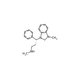 CNCC[C@H](c1ccccc1)N1[CH]N(C)c2ccccc21